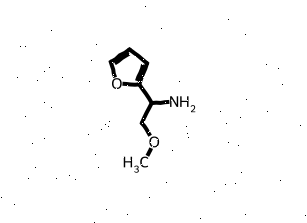 COCC(N)c1ccco1